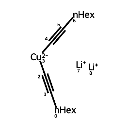 CCCCCCC#[C][Cu-2][C]#CCCCCCC.[Li+].[Li+]